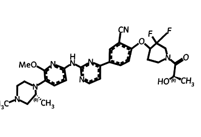 COc1nc(Nc2nccc(-c3ccc(OC4CCN(C(=O)[C@@H](C)O)CC4(F)F)c(C#N)c3)n2)ccc1N1CCN(C)C[C@H]1C